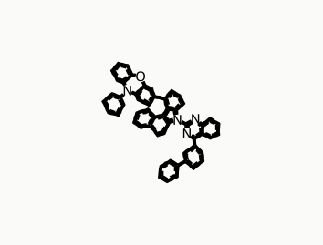 c1ccc(-c2cccc(-c3nc(-n4c5cccc(-c6ccc7c(c6)Oc6ccccc6N7c6ccccc6)c5c5c6ccccc6ccc54)nc4ccccc34)c2)cc1